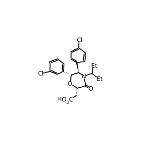 CCC(CC)N1C(=O)[C@H](CC(=O)O)O[C@H](c2cccc(Cl)c2)[C@H]1c1ccc(Cl)cc1